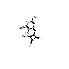 COc1c(C=C2C=C(C(C)(C)C)OC(C(C)(C)C)=C2[SeH])c(=O)c1=O